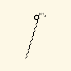 CCCCCCCCCCCCCCCCCCc1cccc(N)c1